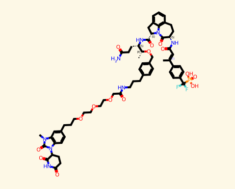 C/C(=C\C(=O)N[C@H]1CCc2cccc3c2N(C1=O)[C@H](C(=O)N[C@@H](CCC(N)=O)[C@@H](C)OCc1ccc(CCCNC(=O)COCCOCCOCCCc2ccc4c(c2)n(C)c(=O)n4C2CCC(=O)NC2=O)cc1)C3)c1ccc(C(F)(F)P(=O)(O)O)cc1